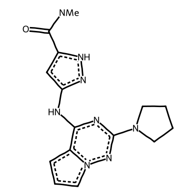 CNC(=O)c1cc(Nc2nc(N3CCCC3)nn3cccc23)n[nH]1